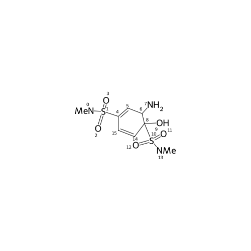 CNS(=O)(=O)C1=CC(N)C(O)(S(=O)(=O)NC)C=C1